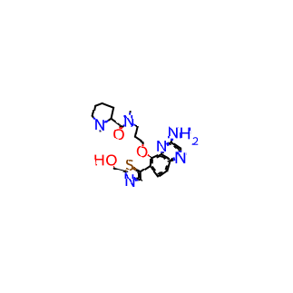 CN(CCCOc1c(-c2cnc(CO)s2)ccc2ncc(N)nc12)C(=O)C1CCCCN1C